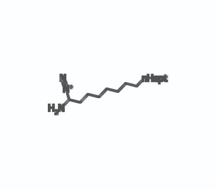 CCCCCCCCCCCCCCC(N)[N+]#N